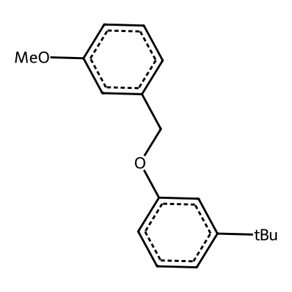 COc1cccc(COc2cccc(C(C)(C)C)c2)c1